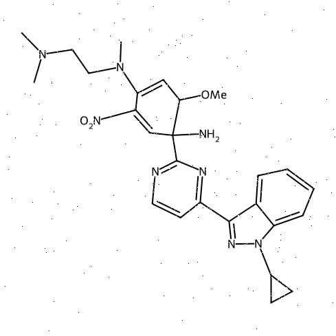 COC1C=C(N(C)CCN(C)C)C([N+](=O)[O-])=CC1(N)c1nccc(-c2nn(C3CC3)c3ccccc23)n1